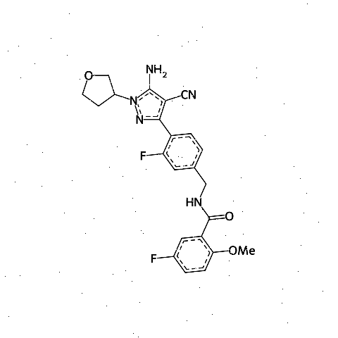 COc1ccc(F)cc1C(=O)NCc1ccc(-c2nn(C3CCOC3)c(N)c2C#N)c(F)c1